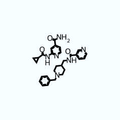 NC(=O)c1ccnc(NC(=O)C2CC2)c1.O=C(NCC1CCN(Cc2ccccc2)CC1)c1cccnc1